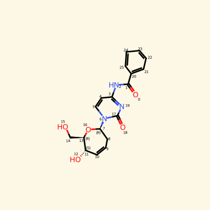 O=C(Nc1ccn([C@H]2CC=C[C@H](O)[C@@H](CO)O2)c(=O)n1)c1ccccc1